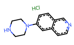 Cl.c1cc2cc(N3CCNCC3)ccc2cn1